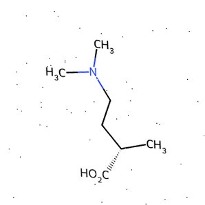 C[C@@H](CCN(C)C)C(=O)O